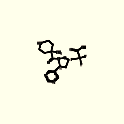 CC1(C(=O)N2OCC[C@H]2c2cncnc2)CCNCC1.O=C(O)C(F)(F)F